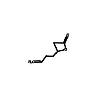 C=CCCC1CC(=O)O1